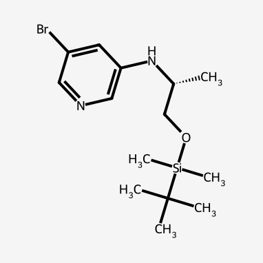 C[C@H](CO[Si](C)(C)C(C)(C)C)Nc1cncc(Br)c1